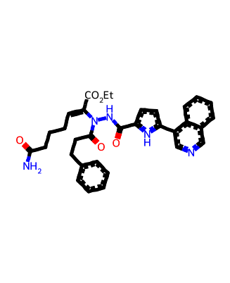 CCOC(=O)/C(=C/CCCC(N)=O)N(NC(=O)c1ccc(-c2cncc3ccccc23)[nH]1)C(=O)CCc1ccccc1